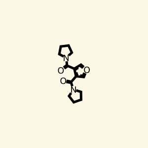 O=C(c1cocc1C(=O)N1CCCC1)N1CCCC1